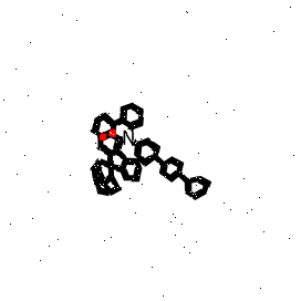 c1ccc(-c2ccc(-c3ccc(N(c4ccccc4-c4ccccc4)c4cccc5c4-c4ccccc4C54C5CC6CC(C5)CC4C6)cc3)cc2)cc1